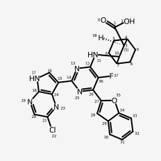 O=C(O)[C@H]1C2CCC(CC2)C1Nc1nc(-c2c[nH]c3ncc(Cl)nc23)nc(-c2cc3ccccc3o2)c1F